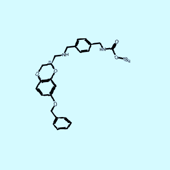 CC(C)(C)OC(=O)NCc1ccc(CNC[C@@H]2COc3ccc(OCc4ccccc4)cc3O2)cc1